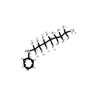 FC(F)(F)C(F)(F)C(F)(F)C(F)(F)C(F)(F)C(F)(F)C(F)(F)C(F)(F)Nc1ccccc1